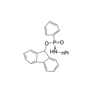 CCCN[P@@](=O)(OC1c2ccccc2-c2ccccc21)c1ccccc1